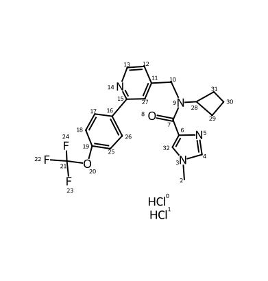 Cl.Cl.Cn1cnc(C(=O)N(Cc2ccnc(-c3ccc(OC(F)(F)F)cc3)c2)C2CCC2)c1